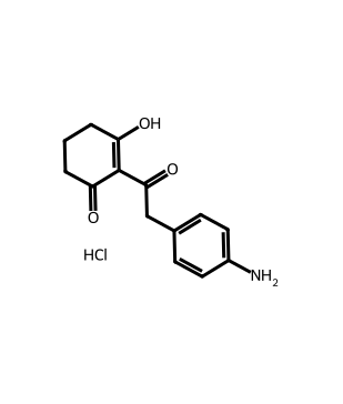 Cl.Nc1ccc(CC(=O)C2=C(O)CCCC2=O)cc1